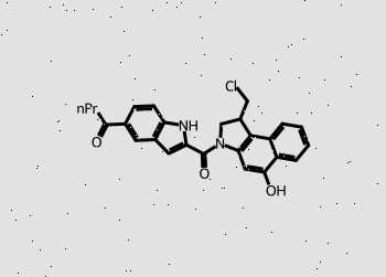 CCCC(=O)c1ccc2[nH]c(C(=O)N3CC(CCl)c4c3cc(O)c3ccccc43)cc2c1